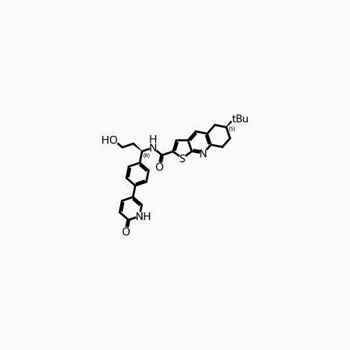 CC(C)(C)[C@H]1CCc2nc3sc(C(=O)N[C@H](CCO)c4ccc(-c5ccc(=O)[nH]c5)cc4)cc3cc2C1